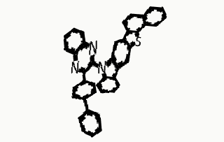 c1ccc(-c2ccc(-c3nc4ccccc4nc3-n3c4ccccc4c4cc5sc6c7ccccc7ccc6c5cc43)cc2)cc1